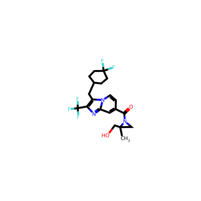 CC1(CO)CN1C(=O)c1ccn2c(CC3CCC(F)(F)CC3)c(C(F)(F)F)nc2c1